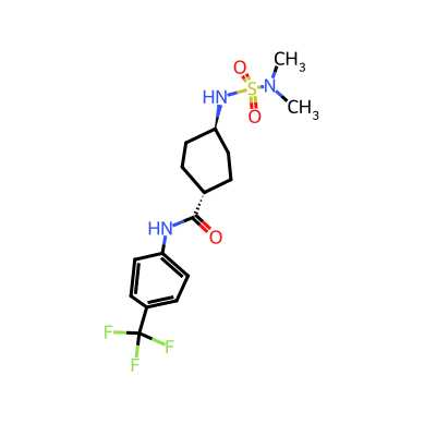 CN(C)S(=O)(=O)N[C@H]1CC[C@H](C(=O)Nc2ccc(C(F)(F)F)cc2)CC1